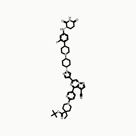 CCC1(C(=O)OC(C)(C)C)CCN(c2ccc(-c3nc(-c4cnn([C@H]5CC[C@H](N6CCC(c7ccc(N[C@H]8CCC(=O)NC8=O)cc7F)CC6)CC5)c4)cn4ncc(C#N)c34)cn2)CC1